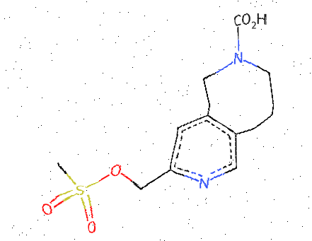 CS(=O)(=O)OCc1cc2c(cn1)CCN(C(=O)O)C2